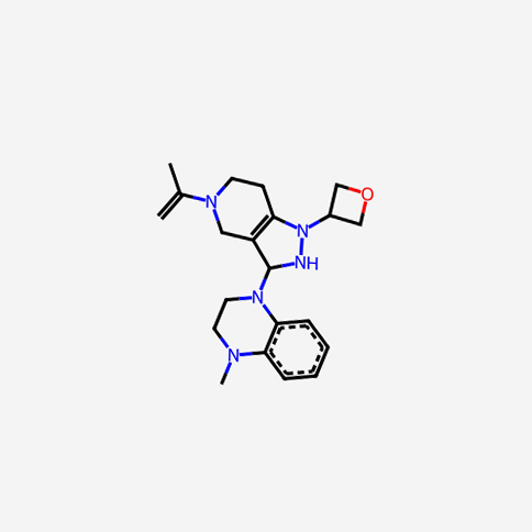 C=C(C)N1CCC2=C(C1)C(N1CCN(C)c3ccccc31)NN2C1COC1